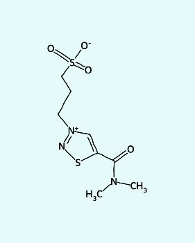 CN(C)C(=O)c1c[n+](CCCS(=O)(=O)[O-])ns1